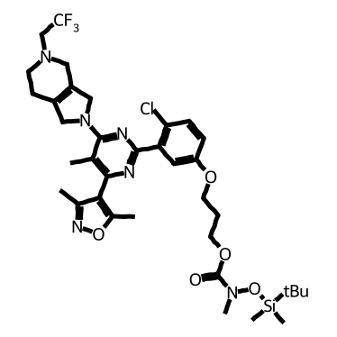 Cc1noc(C)c1-c1nc(-c2cc(OCCCOC(=O)N(C)O[Si](C)(C)C(C)(C)C)ccc2Cl)nc(N2CC3=C(CN(CC(F)(F)F)CC3)C2)c1C